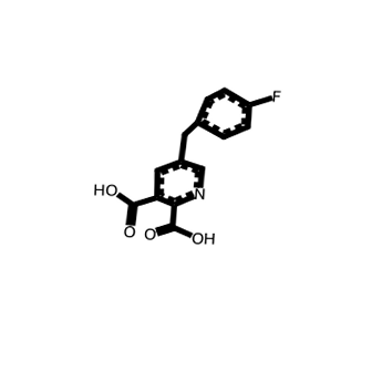 O=C(O)c1cc(Cc2ccc(F)cc2)cnc1C(=O)O